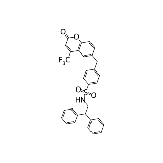 O=c1cc(C(F)(F)F)c2cc(Cc3ccc(S(=O)(=O)NCC(c4ccccc4)c4ccccc4)cc3)ccc2o1